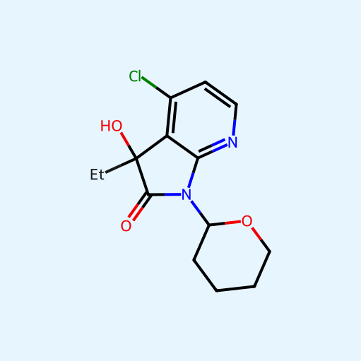 CCC1(O)C(=O)N(C2CCCCO2)c2nccc(Cl)c21